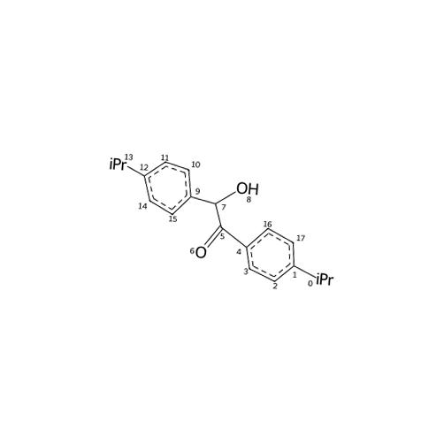 CC(C)c1ccc(C(=O)C(O)c2ccc(C(C)C)cc2)cc1